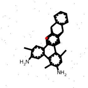 Cc1cc(-c2ccc3c(c2)C2c4ccccc4C3c3cc(-c4cc(C)c(N)cc4C)ccc32)c(C)cc1N